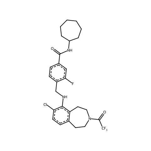 O=C(NC1CCCCCC1)c1ccc(CNc2c(Cl)ccc3c2CCN(C(=O)C(F)(F)F)CC3)c(F)c1